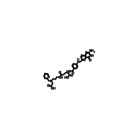 Nc1nc2ncc(CNc3ccc(C(=O)NC(CCC(=O)NCCCN(CC(=O)O)Cc4ccccn4)C(=O)O)cc3)nc2c(=O)[nH]1